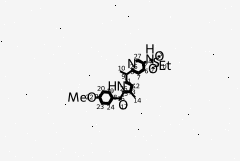 CCS(=O)(=O)Nc1ccc(C(C)c2cc(C)c(C(=O)c3ccc(OC)cc3)[nH]2)nc1